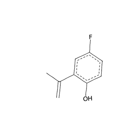 C=C(C)c1cc(F)ccc1O